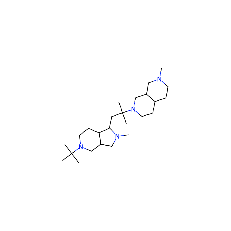 CN1CCC2CCN(C(C)(C)CC3C4CCN(C(C)(C)C)CC4CN3C)CC2C1